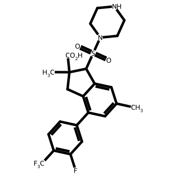 Cc1cc(-c2ccc(C(F)(F)F)c(F)c2)c2c(c1)C(S(=O)(=O)N1CCNCC1)C(C)(C(=O)O)C2